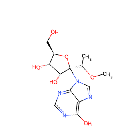 COC(C)[C@@]1(n2cnc3c(O)ncnc32)O[C@H](CO)[C@@H](O)[C@H]1O